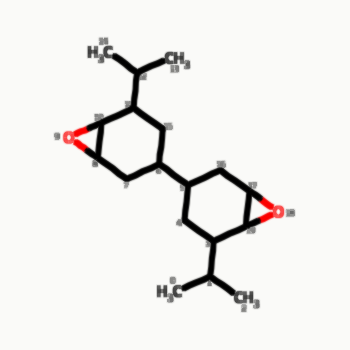 CC(C)C1CC(C2CC3OC3C(C(C)C)C2)CC2OC21